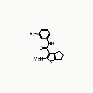 CNc1sc2c(c1C(=O)Nc1cccc(C(C)=O)c1)CCC2